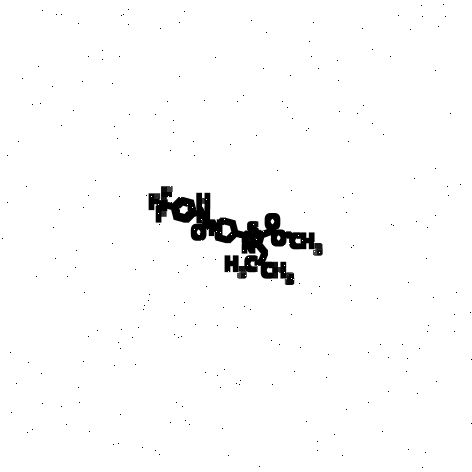 CCOC(=O)c1sc(C2CCN(C(=O)Nc3ccc(C(F)(F)F)cc3)CC2)nc1CC(C)C